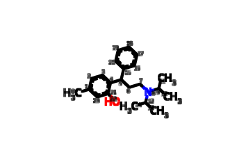 Cc1ccc(C(CCN(C(C)C)C(C)C)c2ccccc2)c(O)c1